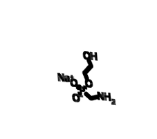 NCP(=O)([O-])OCCO.[Na+]